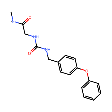 C[N]C(=O)CNC(=O)NCc1ccc(Oc2ccccc2)cc1